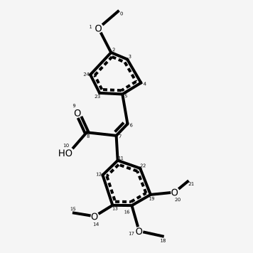 COc1ccc(C=C(C(=O)O)c2cc(OC)c(OC)c(OC)c2)cc1